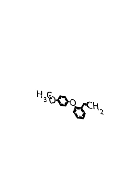 C=Cc1ccccc1Oc1ccc(OC)cc1